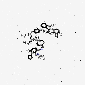 CN(CCN(C)[S+]([O-])N1CCC(/N=C\c2ccc(=O)n(C3CCCC3)c2/N=C/N)CC1)Cc1ccc(N(C)c2cccc3c2C(=O)N(C2CCC(=O)NC2=O)C3=O)cc1